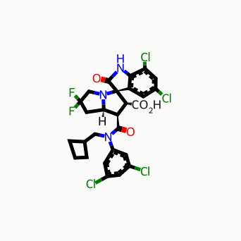 O=C(O)[C@H]1[C@@H](C(=O)N(CC2CCC2)c2cc(Cl)cc(Cl)c2)[C@H]2CC(F)(F)CN2[C@]12C(=O)Nc1c(Cl)cc(Cl)cc12